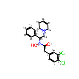 O=C(Cc1ccc(Cl)c(Cl)c1)N(O)C(CN1CC=CCC1)c1ccccc1